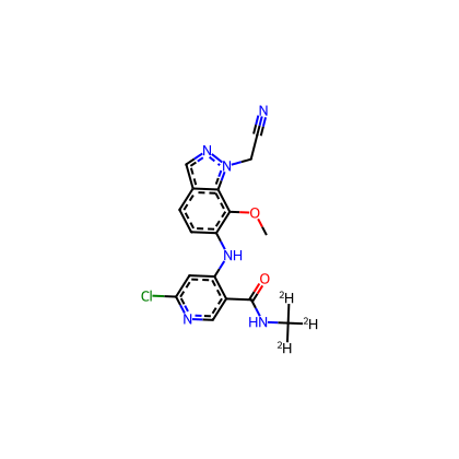 [2H]C([2H])([2H])NC(=O)c1cnc(Cl)cc1Nc1ccc2cnn(CC#N)c2c1OC